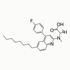 [2H]C(C(=O)O)N(C)c1cc(-c2ccc(F)cc2)c2cc(CCCCCCCC)ccc2n1